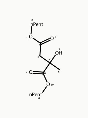 CCCCCOC(=O)CC(C)(O)C(=O)OCCCCC